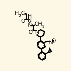 C=CC(=O)N/N=C(\C)C(=O)N1CCCC(c2ccc(-c3ccccc3C3CC3)cc2CN=O)C1